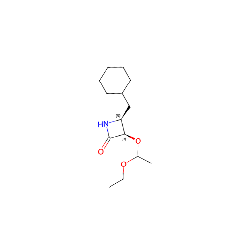 CCOC(C)O[C@H]1C(=O)N[C@H]1CC1CCCCC1